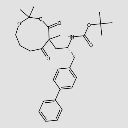 CC(C)(C)OC(=O)N[C@H](Cc1ccc(-c2ccccc2)cc1)CC1(C)C(=O)CCCOC(C)(C)OC1=O